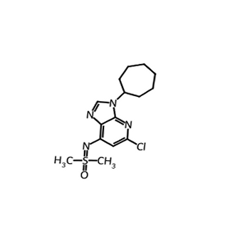 CS(C)(=O)=Nc1cc(Cl)nc2c1ncn2C1CCCCCC1